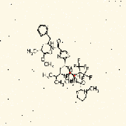 COC(=O)[C@@H](C)C[C@H](Cc1ccccc1)NC(=O)c1csc([C@@H](C[C@H](C(C)C)N(C)C(=O)[C@H](NC(=O)[C@H]2CCCCN2C)C(C(F)(F)F)C(F)(F)F)OC(C)=O)n1